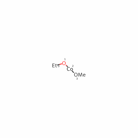 CC[O][Co][O]C